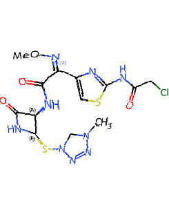 CO/N=C(\C(=O)N[C@@H]1C(=O)N[C@@H]1SN1CN(C)N=N1)c1csc(NC(=O)CCl)n1